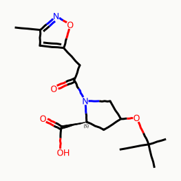 Cc1cc(CC(=O)N2CC(OC(C)(C)C)C[C@H]2C(=O)O)on1